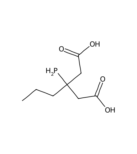 CCCC(P)(CC(=O)O)CC(=O)O